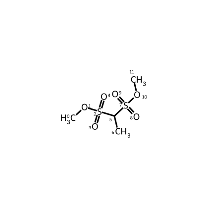 COS(=O)(=O)C(C)S(=O)(=O)OC